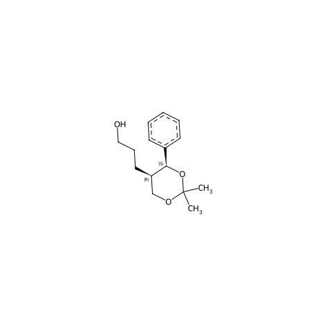 CC1(C)OC[C@@H](CCCO)[C@@H](c2ccccc2)O1